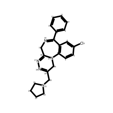 Clc1ccc2c(c1)C(c1ccccc1)=NCC1=NN=C(CN3CCCC3)CN12